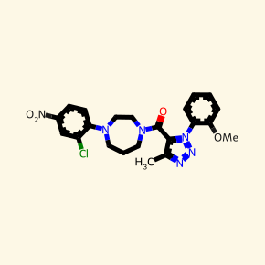 COc1ccccc1-n1nnc(C)c1C(=O)N1CCCN(c2ccc([N+](=O)[O-])cc2Cl)CC1